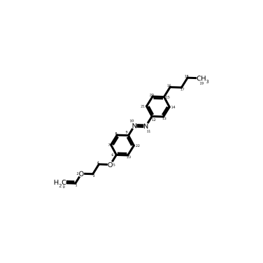 C=COCCOc1ccc(/N=N/c2ccc(CCCC)cc2)cc1